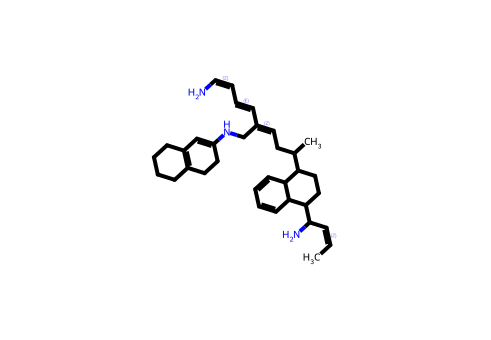 C/C=C\C(N)C1CCC(C(C)C/C=C(/C=C/C=C\N)CNC2=CC3=C(CCCC3)CC2)C2C=CC=CC21